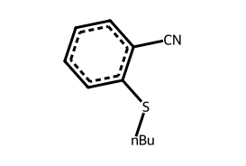 CCCCSc1ccccc1C#N